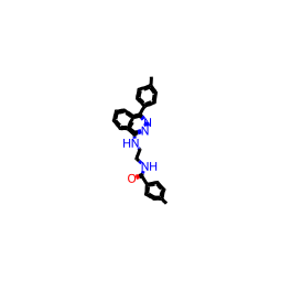 Cc1ccc(C(=O)NCCNc2nnc(-c3ccc(C)cc3)c3ccccc23)cc1